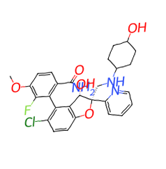 COc1ccc(C(N)=O)c(-c2c(Cl)ccc3c2[C@H](O)[C@@](CNC2CCC(O)CC2)(c2ccccn2)O3)c1F